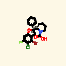 O=C(O)N1CCCC[C@H]1[C@@]1(c2ccccc2)Cc2c(cc(F)c(Cl)c2Br)O1